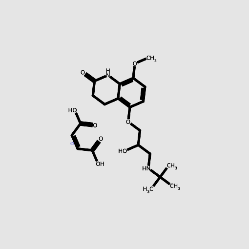 COc1ccc(OCC(O)CNC(C)(C)C)c2c1NC(=O)CC2.O=C(O)/C=C\C(=O)O